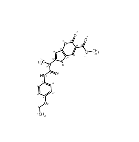 CCOc1ccc(NC(=O)N(C)c2cc3oc(=O)c(C(=O)OC)cc3s2)cc1